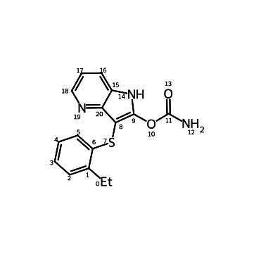 CCc1ccccc1Sc1c(OC(N)=O)[nH]c2cccnc12